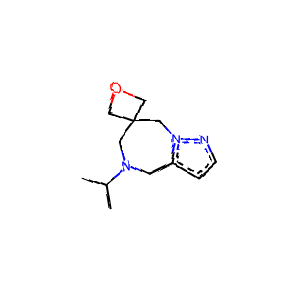 CC(C)N1Cc2ccnn2CC2(COC2)C1